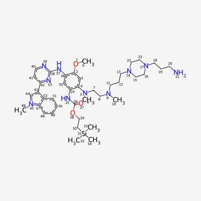 COc1cc(N(C)CCN(C)CCCN2CCN(CCCN)CC2)c(NC(=O)OCC[Si](C)(C)C)cc1Nc1nccc(-c2cn(C)c3ccccc23)n1